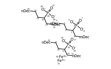 CCCCCCCCCCCCC(CCCCCCCCCCC)P(=O)([O-])[O-].CCCCCCCCCCCCC(CCCCCCCCCCC)P(=O)([O-])[O-].CCCCCCCCCCCCC(CCCCCCCCCCC)P(=O)([O-])[O-].[Fe+3].[Fe+3]